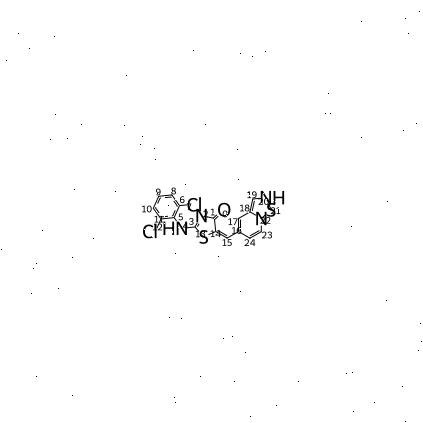 O=C1N=C(Nc2c(Cl)cccc2Cl)SC1=CC1=CC2=CNSN2C=C1